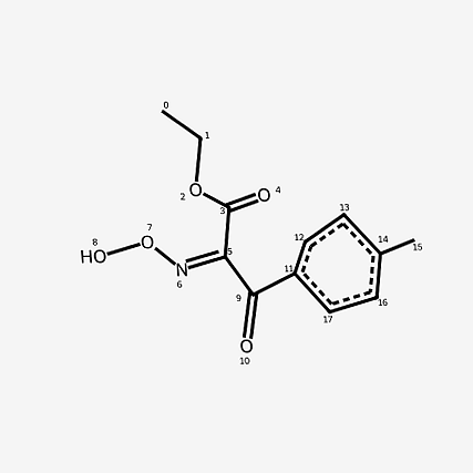 CCOC(=O)/C(=N\OO)C(=O)c1ccc(C)cc1